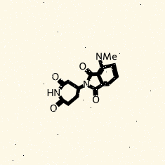 CNc1cccc2c1C(=O)N(C1CCC(=O)NC(=O)C1)C2=O